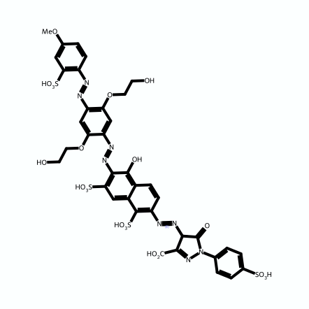 COc1ccc(N=Nc2cc(OCCO)c(N=Nc3c(S(=O)(=O)O)cc4c(S(=O)(=O)O)c(/N=N/C5C(=O)N(c6ccc(S(=O)(=O)O)cc6)N=C5C(=O)O)ccc4c3O)cc2OCCO)c(S(=O)(=O)O)c1